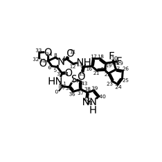 C[C@@H](NC(=O)C1CC2(CN1C(=O)CNC(=O)c1ccc3c(c1)-c1ccccc1C3(F)F)OCCO2)c1cc(-c2cc[nH]n2)cs1